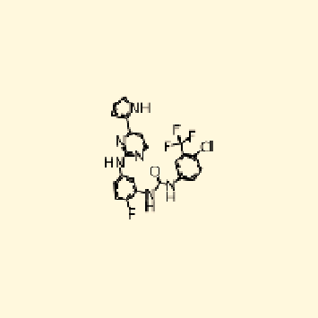 O=C(Nc1ccc(Cl)c(C(F)(F)F)c1)Nc1cc(Nc2nccc(-c3ccc[nH]3)n2)ccc1F